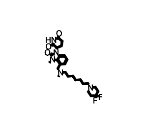 CN(CCCCCCCN1CCC(F)(F)CC1)Cc1cccc2c1n(C)c(=O)n2C1CCC(=O)NC1=O